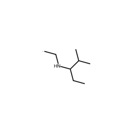 [CH2]CNC(CC)C(C)C